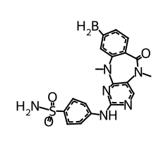 Bc1ccc2c(c1)N(C)c1nc(Nc3ccc(S(N)(=O)=O)cc3)ncc1N(C)C2=O